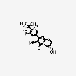 CC(C)(C)c1ncc(-c2nc3n(c(=O)c2C#N)C[C@@H](CO)CS3)cc1F